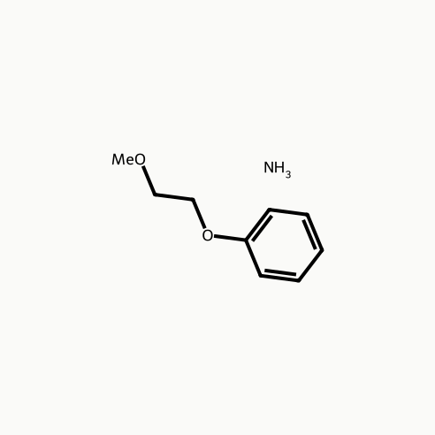 COCCOc1ccccc1.N